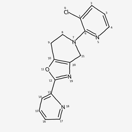 Clc1cccnc1N1CCc2oc(-c3ccccn3)nc2C1